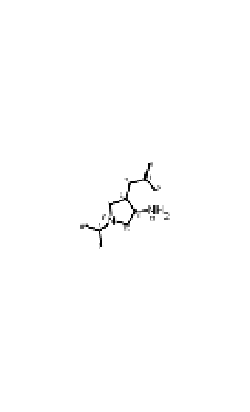 CC(C)C[C@@H]1CN(C(C)C)C[C@@H]1N